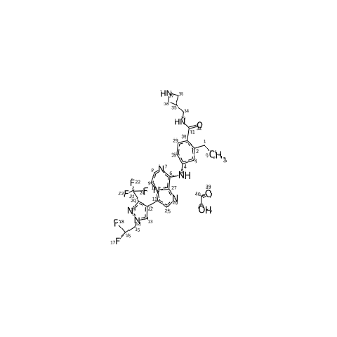 CCc1cc(Nc2nccn3c(-c4cn(CC(F)F)nc4C(F)(F)F)cnc23)ccc1C(=O)NCC1CNC1.O=CO